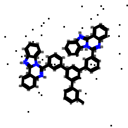 Cc1cccc(-c2cc(-c3cccc(-c4nc5ccccc5c5nc6ccccc6n45)c3)cc(-c3cccc(-c4nc5ccccc5c5nc6ccccc6n45)c3)c2)c1